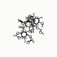 COCOc1c(OC)c(C)cc2c1[C@@H]1C3[C@@H]4SCC(OC(C)=O)C(=O)OC[C@@H](c5c6c(c(C)c(OC(C)=O)c54)OCO6)N3[C@@H](C#N)[C@H](C2)N1C